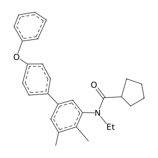 CCN(C(=O)C1CCCC1)c1cc(-c2ccc(Oc3ccccc3)cc2)cc(C)c1C